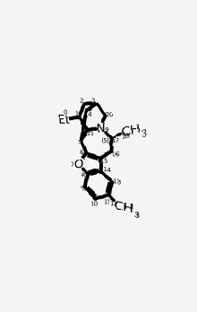 CCC1CC2CC3c4oc5ccc(C)cc5c4C[C@H](C)N(C2)C13